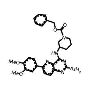 COc1ccc(-c2ccc3nc([AsH2])nc(NC4CCCN(C(=O)OCc5ccccc5)C4)c3n2)cc1OC